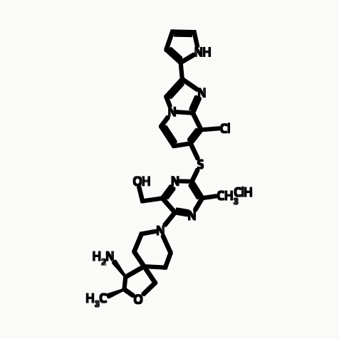 Cc1nc(N2CCC3(CC2)CO[C@@H](C)[C@H]3N)c(CO)nc1Sc1ccn2cc(-c3ccc[nH]3)nc2c1Cl.Cl